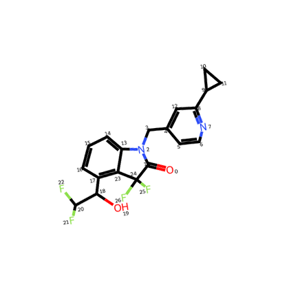 O=C1N(Cc2ccnc(C3CC3)c2)c2cccc(C(O)C(F)F)c2C1(F)F